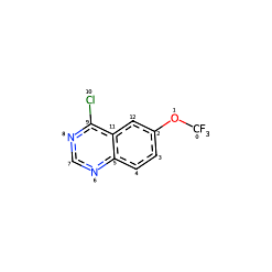 FC(F)(F)Oc1ccc2ncnc(Cl)c2c1